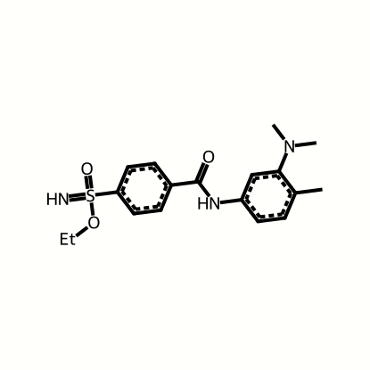 CCOS(=N)(=O)c1ccc(C(=O)Nc2ccc(C)c(N(C)C)c2)cc1